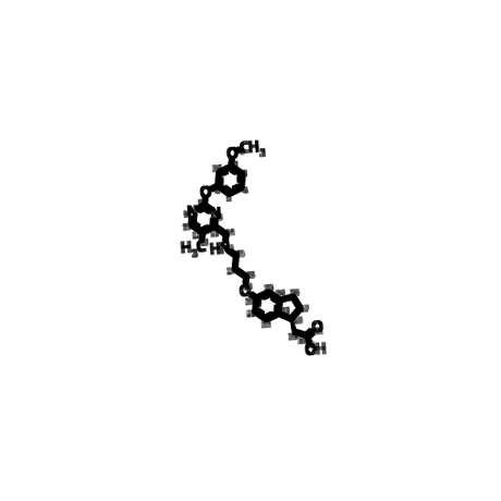 COc1cccc(Oc2ncc(C)c(CNCCCOc3ccc4c(c3)CC[C@H]4CC(=O)O)n2)c1